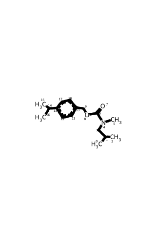 CC(C)CN(C)C(=O)OCc1ccc(C(C)C)cc1